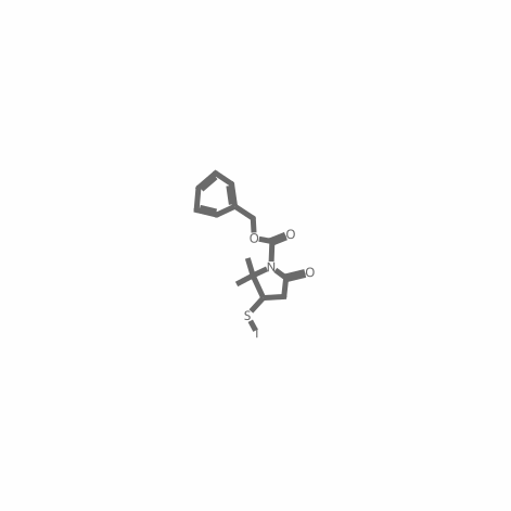 CC1(C)C(SI)CC(=O)N1C(=O)OCc1ccccc1